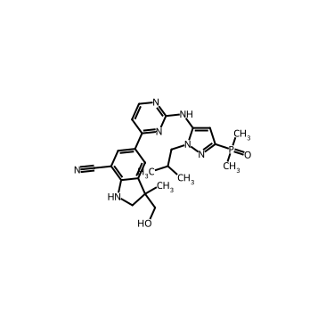 CC(C)Cn1nc(P(C)(C)=O)cc1Nc1nccc(-c2cc(C#N)c3c(c2)C(C)(CO)CN3)n1